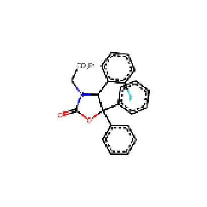 CCOC(=O)CN1C(=O)OC(c2ccccc2)(c2ccccc2)C1c1ccccc1F